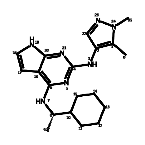 Cc1c(Nc2nc(N[C@@H](C)C3CCCCC3)c3cc[nH]c3n2)cnn1C